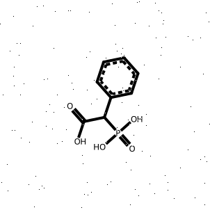 O=C(O)C(c1ccccc1)P(=O)(O)O